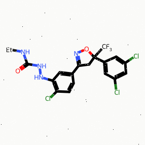 CCNC(=O)NNc1cc(C2=NOC(c3cc(Cl)cc(Cl)c3)(C(F)(F)F)C2)ccc1Cl